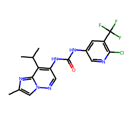 Cc1cn2ncc(NC(=O)Nc3cnc(Cl)c(C(F)(F)F)c3)c(C(C)C)c2n1